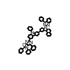 c1ccc(-c2nc(-c3ccc4c(c3)c3ccc(-c5ccc6c(c5)c5c7ccccc7ccc5n6-c5nc(-c6ccccc6)c6ccccc6n5)cc3n4-c3ccccc3)nc3c2N(c2ccccc2)C(c2ccccc2)O3)cc1